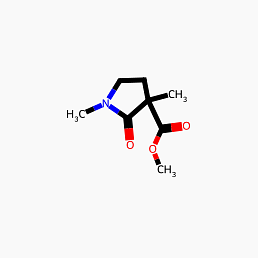 COC(=O)C1(C)CCN(C)C1=O